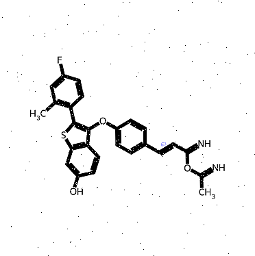 CC(=N)OC(=N)/C=C/c1ccc(Oc2c(-c3ccc(F)cc3C)sc3cc(O)ccc23)cc1